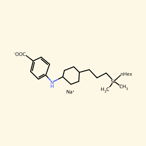 CCCCCC[Si](C)(C)CCCC1CCC(Nc2ccc(C(=O)[O-])cc2)CC1.[Na+]